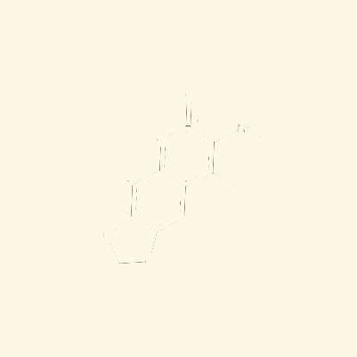 Cc1c([N+](=O)[O-])c(=O)oc2cc3c(cc12)OCO3